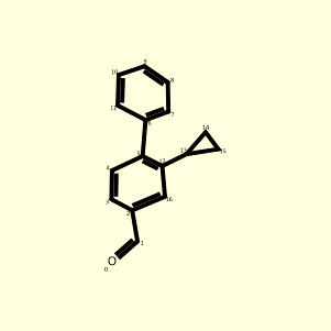 O=Cc1ccc(-c2ccccc2)c(C2CC2)c1